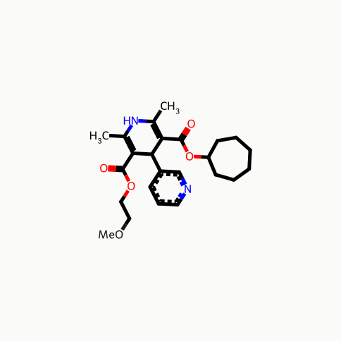 COCCOC(=O)C1=C(C)NC(C)=C(C(=O)OC2CCCCCC2)C1c1cccnc1